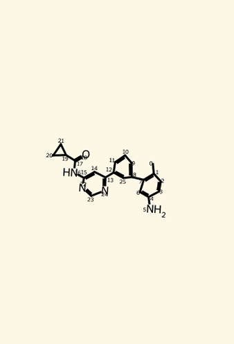 Cc1ccc(N)cc1-c1cccc(-c2cc(NC(=O)C3CC3)ncn2)c1